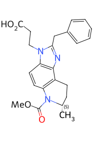 COC(=O)N1c2ccc3c(nc(Cc4ccccc4)n3CCC(=O)O)c2CC[C@@H]1C